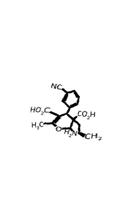 C=CCC1(C(=O)O)C(N)OC(C)=C(C(=O)O)C1c1cccc(C#N)c1